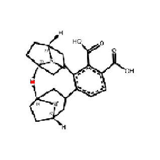 CN1[C@@H]2CC[C@H]1CC(c1ccc(C(=O)O)c(C(=O)O)c1C1C[C@H]3CC[C@@H](C1)N3C)C2